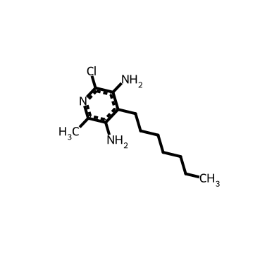 CCCCCCCc1c(N)c(C)nc(Cl)c1N